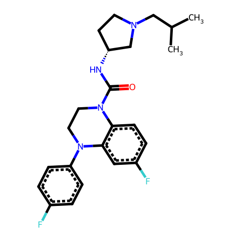 CC(C)CN1CC[C@@H](NC(=O)N2CCN(c3ccc(F)cc3)c3cc(F)ccc32)C1